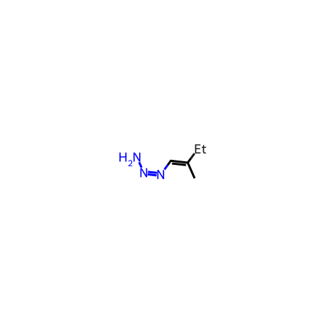 CC/C(C)=C/N=N\N